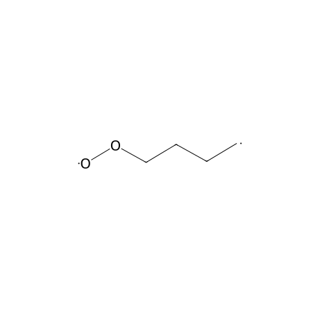 [CH2]CCCO[O]